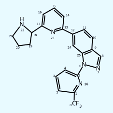 FC(F)(F)c1cccc(-n2ncc3ccc(-c4cccc(C5CCCN5)n4)cc32)n1